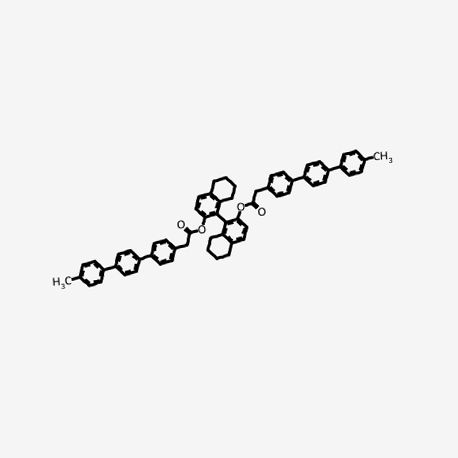 Cc1ccc(-c2ccc(-c3ccc(CC(=O)Oc4ccc5c(c4-c4c(OC(=O)Cc6ccc(-c7ccc(-c8ccc(C)cc8)cc7)cc6)ccc6c4CCCC6)CCCC5)cc3)cc2)cc1